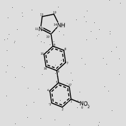 O=[N+]([O-])c1cccc(-c2ccc(C3=NCCN3)cc2)c1